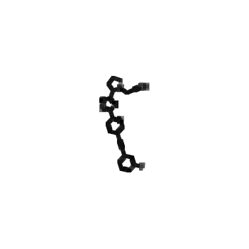 C#CCN1CCCC1c1nc(-c2ccc(C#Cc3cccc(F)c3)cn2)no1